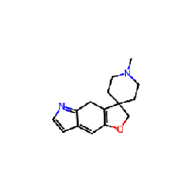 CN1CCC2(CC1)COC1=C2CC2=NC=CC2=C1